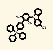 N#Cc1ccc2c(c1)c1ccccc1n2-c1ccc(C#N)c(-c2ccc([Si](c3ccccc3)(c3ccccc3)c3ccccc3)cc2)c1C#N